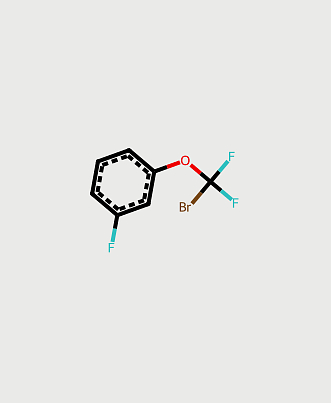 Fc1cccc(OC(F)(F)Br)c1